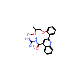 CC(C)OC(C)COc1ccccc1-c1cc(C(=O)NC(=N)N)c2ccccc2n1